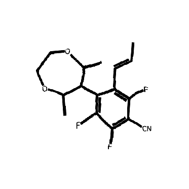 C/C=C/c1c(F)c(C#N)c(F)c(F)c1C1C(C)OCCOC1C